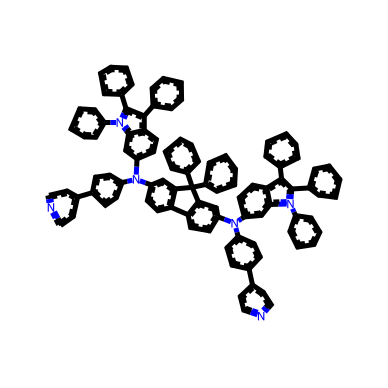 c1ccc(-c2c(-c3ccccc3)n(-c3ccccc3)c3cc(N(c4ccc(-c5ccncc5)cc4)c4ccc5c(c4)C(c4ccccc4)(c4ccccc4)c4cc(N(c6ccc(-c7ccncc7)cc6)c6ccc7c(-c8ccccc8)c(-c8ccccc8)n(-c8ccccc8)c7c6)ccc4-5)ccc23)cc1